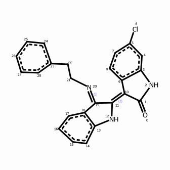 O=C1Nc2cc(Cl)ccc2/C1=C1/Nc2ccccc2/C1=N\CCc1ccccc1